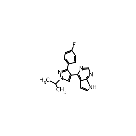 CC(C)n1cc(-c2ncnc3[nH]ccc23)c(-c2ccc(F)cc2)n1